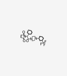 O=C(C(c1ccccc1)N1C(=O)C=CC1=O)N1CCN(c2cccc(C(F)(F)F)c2)CC1